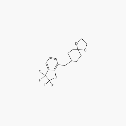 FC1(F)Oc2c(CC3CCC4(CC3)OCCO4)cccc2C1(F)F